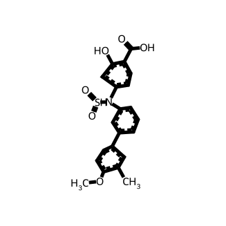 COc1ccc(-c2cccc(N(c3ccc(C(=O)O)c(O)c3)[SH](=O)=O)c2)cc1C